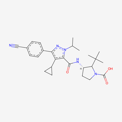 CC(C)n1nc(-c2ccc(C#N)cc2)c(C2CC2)c1C(=O)N[C@H]1CCN(C(=O)O)C1C(C)(C)C